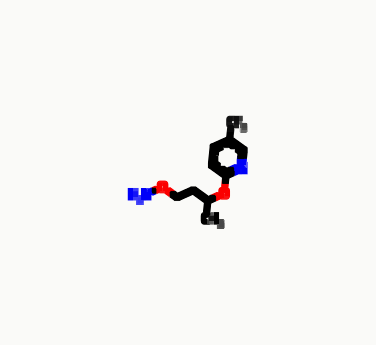 CC(CCON)Oc1ccc(C(F)(F)F)cn1